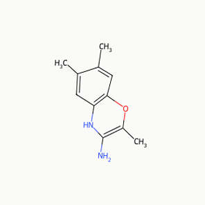 CC1=C(N)Nc2cc(C)c(C)cc2O1